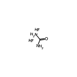 F.F.NC(N)=O